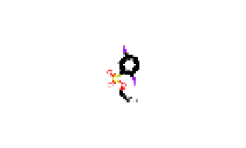 CC(C)(C)COS(=O)(=O)c1cc(I)ccc1I